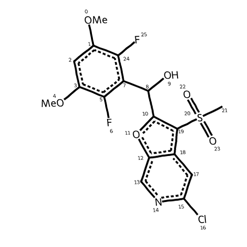 COc1cc(OC)c(F)c(C(O)c2oc3cnc(Cl)cc3c2S(C)(=O)=O)c1F